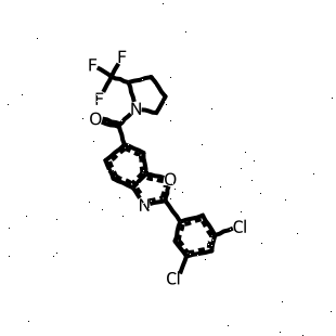 O=C(c1ccc2nc(-c3cc(Cl)cc(Cl)c3)oc2c1)N1CCCC1C(F)(F)F